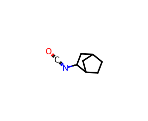 O=C=N[C]1CC2CCC1C2